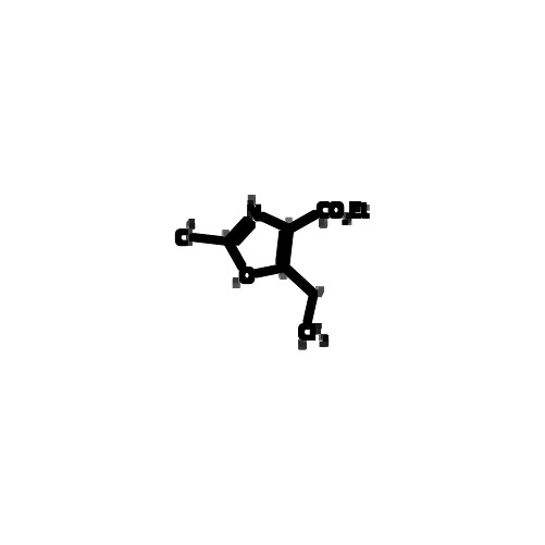 CCOC(=O)c1nc(Cl)oc1CC(F)(F)F